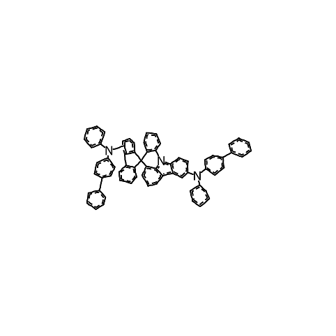 c1ccc(-c2ccc(N(c3ccccc3)c3ccc4c(c3)c3cccc5c3n4-c3ccccc3C53c4ccccc4-c4c(N(c5ccccc5)c5ccc(-c6ccccc6)cc5)cccc43)cc2)cc1